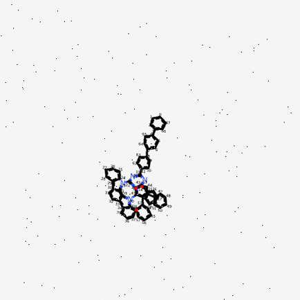 c1ccc(-c2ccc(-c3ccc(-c4nc(-c5ccccc5)nc(-n5c6ccccc6c6ccc7c8ccccc8n(-c8cccc(-c9ccccc9)c8-c8ccccc8)c7c65)n4)cc3)cc2)cc1